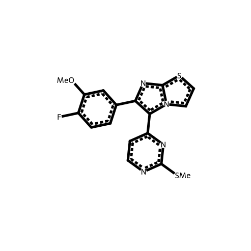 COc1cc(-c2nc3sccn3c2-c2ccnc(SC)n2)ccc1F